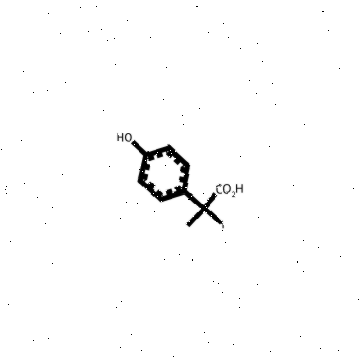 CC(I)(C(=O)O)c1ccc(O)cc1